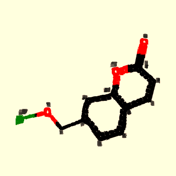 O=c1ccc2ccc(COBr)cc2o1